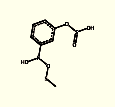 CSON(O)c1cccc(OS(=O)O)c1